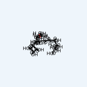 CC(C)(C)[Si](F)(c1ccc(C(=O)NC[C@@H](NC(=O)CC[C@H](C(=O)O)N2CCN(CC(=O)O)CCN(CC(=O)O)CCN(CC(=O)O)CC2)C(=O)N[C@@H](CCCCNC(=O)CCC(=O)NCCC[C@H](NC(=O)CC[C@H](NC(=O)N[C@@H](CCCC(=O)O)C(=O)O)C(=O)O)C(=O)O)C(=O)O)cc1)C(C)(C)C